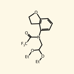 CCOC(CN(C(=O)C(F)(F)F)c1cccc2c1CCO2)OCC